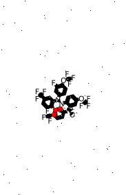 O=[N+]([O-])c1ccc(C(F)(F)F)cc1N(c1ccc(OC(F)(F)F)cc1)N(c1ccc(OC(F)(F)F)c(F)c1)c1cc(C(F)(F)F)ccc1[N+](=O)[O-]